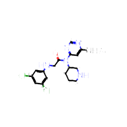 CC(=O)Nc1cc(N(C(=O)CNc2cc(Cl)cc(Cl)c2)C2CCCNC2)ncn1